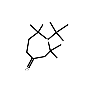 CC(C)(C)P1C(C)(C)CCC(=O)CC1(C)C